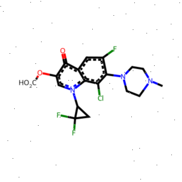 CN1CCN(c2c(F)cc3c(=O)c(OC(=O)O)cn(C4CC4(F)F)c3c2Cl)CC1